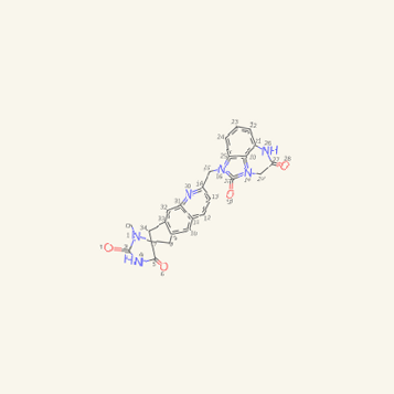 CN1C(=O)NC(=O)C12Cc1cc3ccc(Cn4c(=O)n5c6c(cccc64)NC(=O)C5)nc3cc1C2